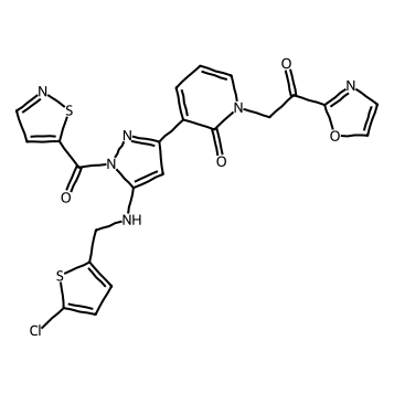 O=C(Cn1cccc(-c2cc(NCc3ccc(Cl)s3)n(C(=O)c3ccns3)n2)c1=O)c1ncco1